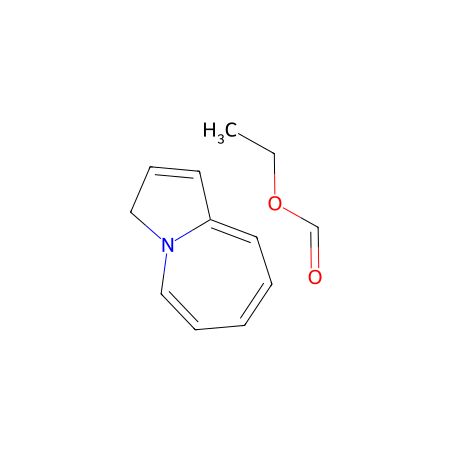 C1=CC=C2C=CCN2C=C1.CCOC=O